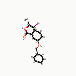 CC(C)c1oc(=O)c2cc(OCc3ccccc3)ccc2c1I